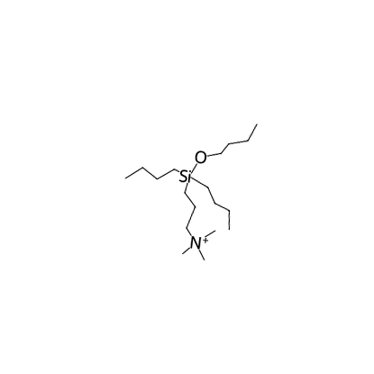 CCCCO[Si](CCCC)(CCCC)CCC[N+](C)(C)C